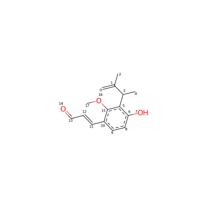 C=C(C)C(C)c1c(O)ccc(C=C[C]=O)c1OC